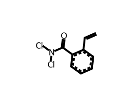 C=Cc1ccccc1C(=O)N(Cl)Cl